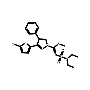 CCN(CC)S(=O)(=O)N=C(SC)N1CC(c2ccccc2)C(c2ccc(Cl)s2)=N1